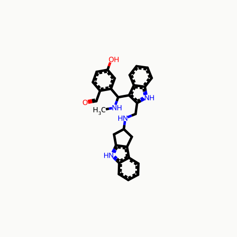 CNC(c1cc(O)ccc1C=O)c1c(CNC2Cc3[nH]c4ccccc4c3C2)[nH]c2ccccc12